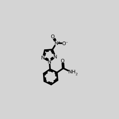 NC(=O)c1ccccc1-n1ncc([N+](=O)[O-])n1